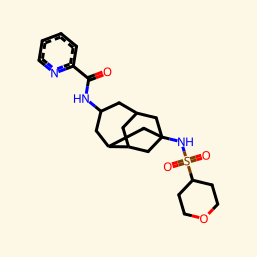 O=C(NC1CC2CC3CC(NS(=O)(=O)C4CCOCC4)(C2)CC3C1)c1ccccn1